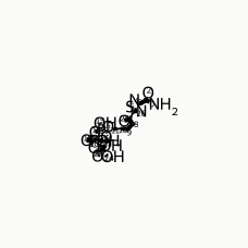 NC(=O)c1nsc([C@H]2CC[C@@H](COP(=O)(O)OP(=O)(O)OP(=O)(O)O)O2)n1